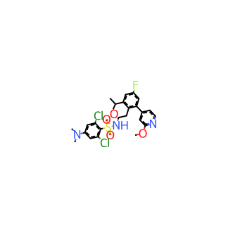 COc1cc(-c2cc(F)cc(C(C)C)c2CC(=O)NS(=O)(=O)c2c(Cl)cc(N(C)C)cc2Cl)ccn1